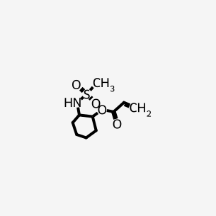 C=CC(=O)OC1CCCCC1NS(C)(=O)=O